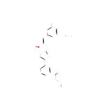 COc1cc(/C=c2\sc3nc(-c4cccc(C(=O)NCCF)c4)cn3c2=O)cc(Cl)c1O